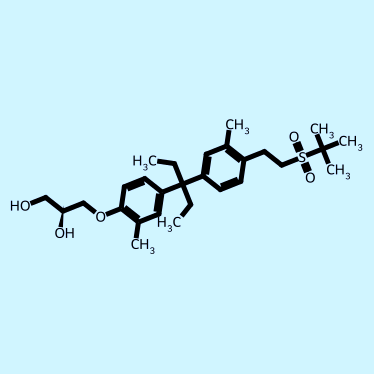 CCC(CC)(c1ccc(CCS(=O)(=O)C(C)(C)C)c(C)c1)c1ccc(OC[C@@H](O)CO)c(C)c1